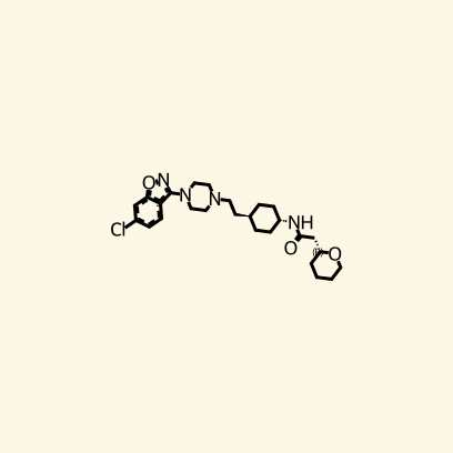 O=C(C[C@H]1CCCCO1)N[C@H]1CC[C@H](CCN2CCN(c3noc4cc(Cl)ccc34)CC2)CC1